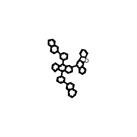 C1=CC2Oc3c(cc(-c4ccc5c(-c6cccc(-c7ccc8ccccc8c7)c6)c6ccccc6c(-c6cccc(-c7ccc8ccccc8c7)c6)c5c4)c4ccccc34)C2C=C1